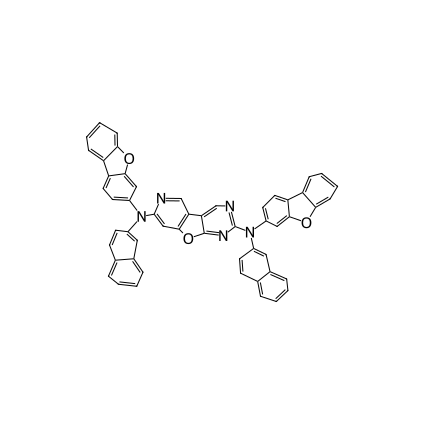 c1ccc2cc(N(c3ccc4c(c3)oc3ccccc34)c3cc4oc5nc(N(c6ccc7ccccc7c6)c6ccc7c(c6)oc6ccccc67)ncc5c4cn3)ccc2c1